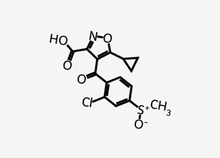 C[S+]([O-])c1ccc(C(=O)c2c(C(=O)O)noc2C2CC2)c(Cl)c1